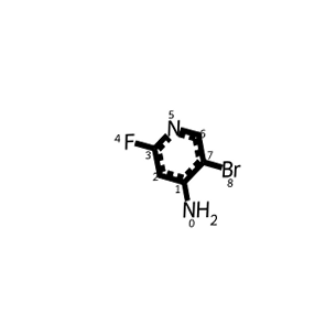 Nc1cc(F)ncc1Br